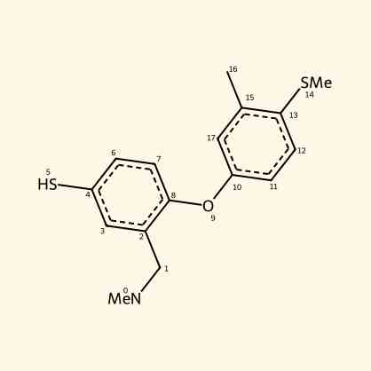 CNCc1cc(S)ccc1Oc1ccc(SC)c(C)c1